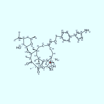 CC[C@H]1OC(=O)[C@H](C)C(=O)C(C)[C@@H](O[C@@H]2O[C@H](C)C[C@H](N(C)C)[C@H]2O)[C@]2(C)CC/C(=N/OCc3ccc(-c4nc(N)ns4)cn3)CC[C@H]([C@@H](C)C(=O)[C@H](C)C2)[C@]1(C)O